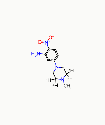 [2H]C1([2H])CN(c2ccc([N+](=O)[O-])c(N)c2)CC([2H])([2H])N1C